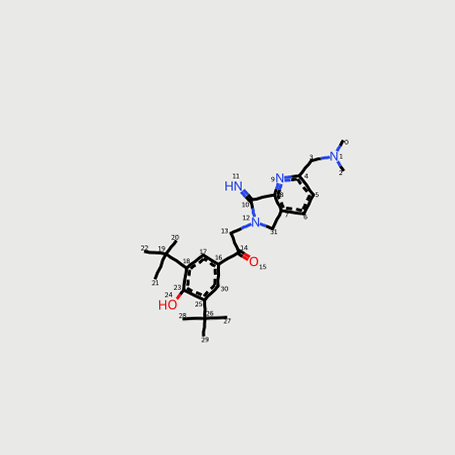 CN(C)Cc1ccc2c(n1)C(=N)N(CC(=O)c1cc(C(C)(C)C)c(O)c(C(C)(C)C)c1)C2